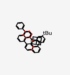 CC(C)(C)c1ccc(-c2ccccc2)c(N(c2ccc(-c3ccccc3)cc2)c2ccccc2-c2cccc3cccc(C45CC6CC7CC(C4)C765)c23)c1